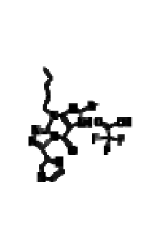 CCCCCn1c2nc(Br)[nH]c2c(=O)n2c(-c3cnccn3)nnc12.O=C(O)C(F)(F)F